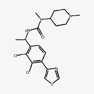 CC(NC(=O)N(C)C1CCN(C)CC1)c1ccc(-c2cscn2)c(Cl)c1Cl